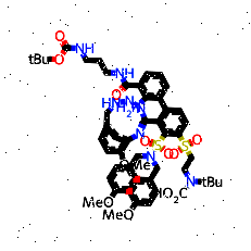 COc1ccc(CN(Cc2ccc(OC)cc2)S(=O)(=O)c2c(S(=O)(=O)CCN(C(=O)O)C(C)(C)C)ccc(-c3cccc(C(=O)NCCCNC(=O)OC(C)(C)C)c3N)c2C2=Nc3cc(ccc3OC)CNN=N2)cc1